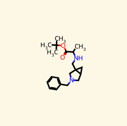 CC(NCC12CC1CN(Cc1ccccc1)C2)C(=O)OC(C)(C)C